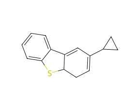 C1=C(C2CC2)C=C2c3ccccc3SC2C1